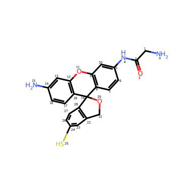 NCC(=O)Nc1ccc2c(c1)Oc1cc(N)ccc1C21OCc2cc(S)ccc21